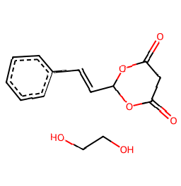 O=C1CC(=O)OC(C=Cc2ccccc2)O1.OCCO